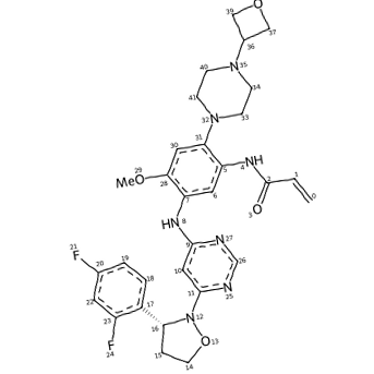 C=CC(=O)Nc1cc(Nc2cc(N3OCC[C@@H]3c3ccc(F)cc3F)ncn2)c(OC)cc1N1CCN(C2COC2)CC1